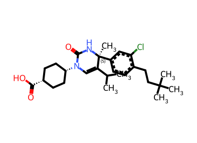 CC(C)C1=CN([C@H]2CC[C@@H](C(=O)O)CC2)C(=O)N[C@@]1(C)c1ccc(CCC(C)(C)C)c(Cl)c1